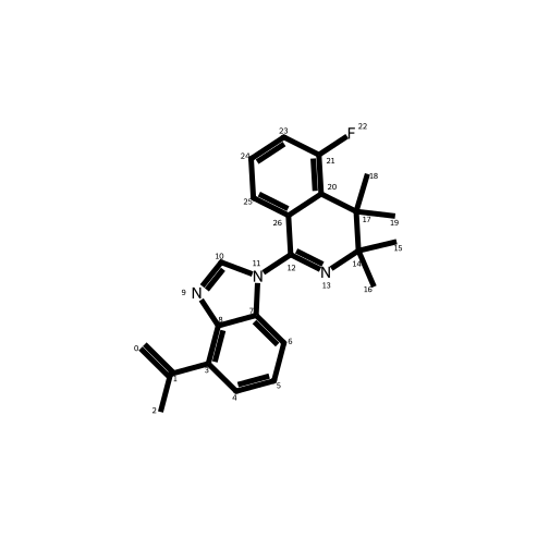 C=C(C)c1cccc2c1ncn2C1=NC(C)(C)C(C)(C)c2c(F)cccc21